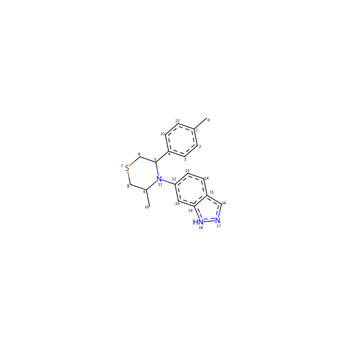 Cc1ccc(C2CS[CH]C(C)N2c2ccc3cn[nH]c3c2)cc1